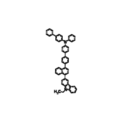 CCn1c2ccccc2c2cc(-c3ccc(-c4ccc(-c5ccc(N(c6ccccc6)c6ccc(-c7ccccc7)cc6)cc5)cc4)c4ccccc34)ccc21